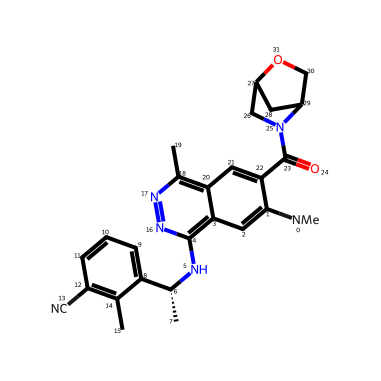 CNc1cc2c(N[C@H](C)c3cccc(C#N)c3C)nnc(C)c2cc1C(=O)N1CC2CC1CO2